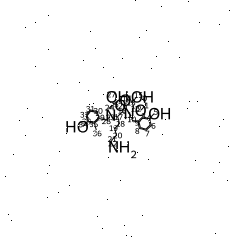 CCOc1c(O)cccc1CN(CC(=O)O)CC(CCCCN)N(CC(=O)O)Cc1cccc(O)c1C